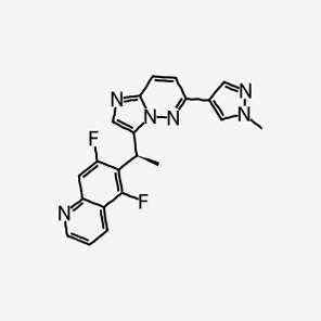 C[C@@H](c1c(F)cc2ncccc2c1F)c1cnc2ccc(-c3cnn(C)c3)nn12